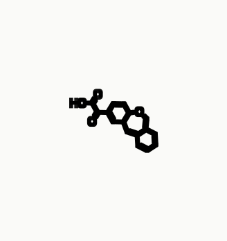 O=C(O)C(=O)C1=CC2C=c3ccccc3=COC2C=C1